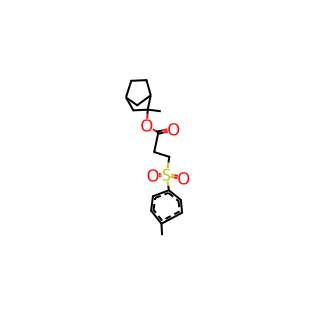 Cc1ccc(S(=O)(=O)CCC(=O)OC2(C)CC3CCC2C3)cc1